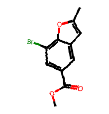 COC(=O)c1cc(Br)c2oc(C)cc2c1